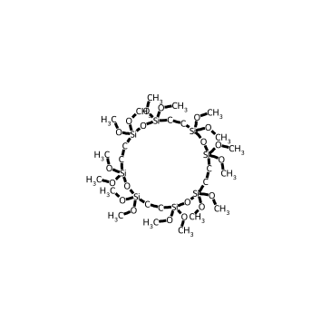 CO[Si]1(OC)CC[Si](OC)(OC)O[Si](OC)(OC)CC[Si](OC)(OC)O[Si](OC)(OC)CC[Si](OC)(OC)O[Si](OC)(OC)CC[Si](OC)(OC)O1